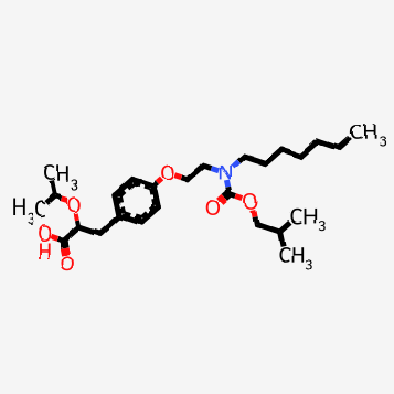 CCCCCCCN(CCOc1ccc(CC(OC(C)C)C(=O)O)cc1)C(=O)OCC(C)C